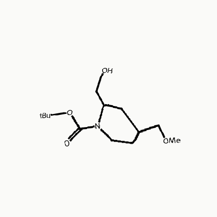 COCC1CCN(C(=O)OC(C)(C)C)C(CO)C1